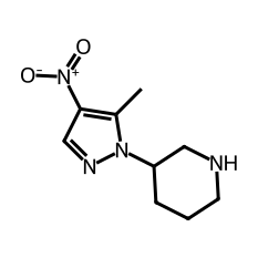 Cc1c([N+](=O)[O-])cnn1C1CCCNC1